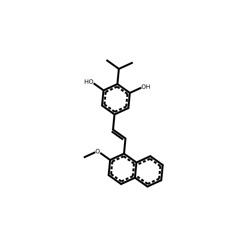 COc1ccc2ccccc2c1/C=C/c1cc(O)c(C(C)C)c(O)c1